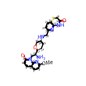 COc1ccc2ccc(=O)n(C[C@H](N)[C@@H]3CC[C@@H](NCc4ccc5c(n4)NC(=O)CS5)CO3)c2n1